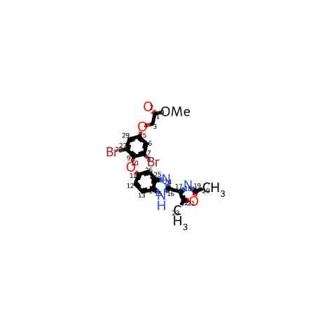 COC(=O)COc1cc(Br)c(Oc2ccc3[nH]c(-c4nc(C)oc4C)nc3c2)c(Br)c1